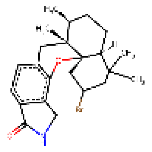 C[C@H]1CC[C@H]2C(C)(C)CC(Br)C[C@]23Oc2c(ccc4c2CNC4=O)C[C@]13C